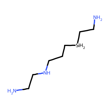 NCCNCCC[SiH2]CCN